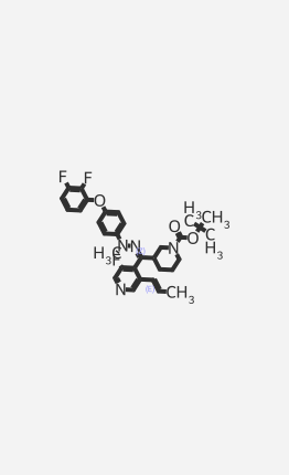 C/C=C/c1cncc(F)c1/C(=N\N(C)c1ccc(Oc2cccc(F)c2F)cc1)C1CCCN(C(=O)OC(C)(C)C)C1